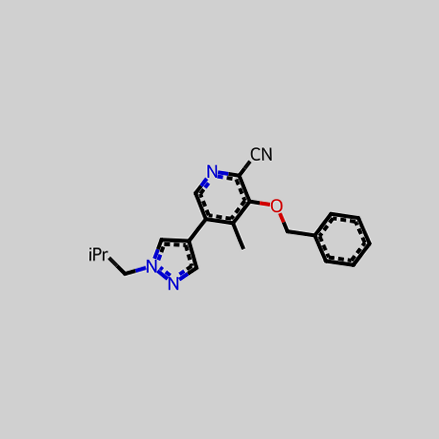 Cc1c(-c2cnn(CC(C)C)c2)cnc(C#N)c1OCc1ccccc1